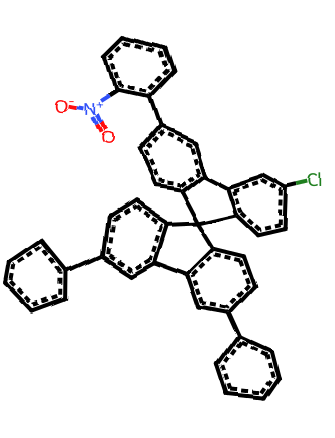 O=[N+]([O-])c1ccccc1-c1ccc2c(c1)-c1cc(Cl)ccc1C21c2ccc(-c3ccccc3)cc2-c2cc(-c3ccccc3)ccc21